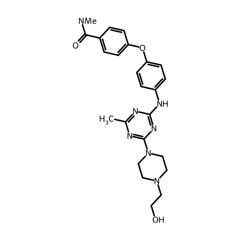 CNC(=O)c1ccc(Oc2ccc(Nc3nc(C)nc(N4CCN(CCO)CC4)n3)cc2)cc1